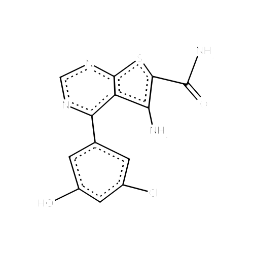 NC(=O)c1sc2ncnc(-c3cc(O)cc(Cl)c3)c2c1N